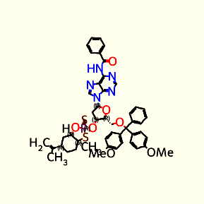 C=C(C)[C@@H]1CC[C@]2(C)S[P@](=S)(O[C@H]3C[C@H](n4cnc5c(NC(=O)c6ccccc6)ncnc54)O[C@@H]3COC(c3ccccc3)(c3ccc(OC)cc3)c3ccc(OC)cc3)O[C@H]2C1